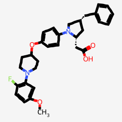 COc1ccc(F)c(N2CCC(Oc3ccc(N4C[C@H](Cc5ccccc5)C[C@@H]4CC(=O)O)cc3)CC2)c1